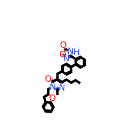 CCCCc1nc(C)n(CC2Cc3ccccc3O2)c(=O)c1Cc1ccc(-c2ccccc2-c2noc(=O)[nH]2)cc1